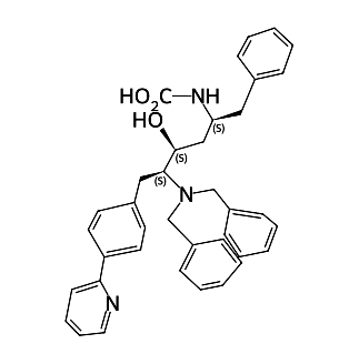 O=C(O)N[C@@H](Cc1ccccc1)C[C@H](O)[C@H](Cc1ccc(-c2ccccn2)cc1)N(Cc1ccccc1)Cc1ccccc1